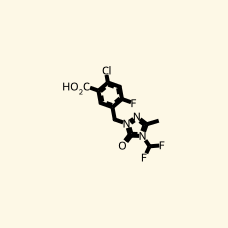 Cc1nn(Cc2cc(C(=O)O)c(Cl)cc2F)c(=O)n1C(F)F